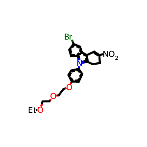 CCOCCOCCOc1ccc(-n2c3c(c4cc(Br)ccc42)C=C([N+](=O)[O-])CC3)cc1